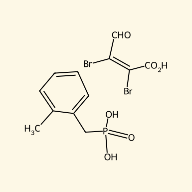 Cc1ccccc1CP(=O)(O)O.O=C/C(Br)=C(/Br)C(=O)O